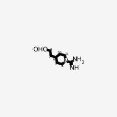 N=C(N)N1CCC(CC[C]=O)CC1